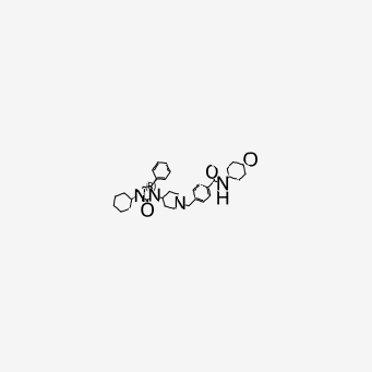 O=C1CCC(NC(=O)c2ccc(CN3CCC(N4C(=O)N(C5CCCCC5)C[C@H]4c4ccccc4)CC3)cc2)CC1